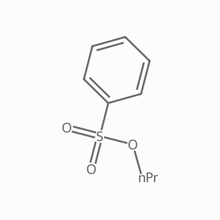 CCCOS(=O)(=O)c1ccccc1